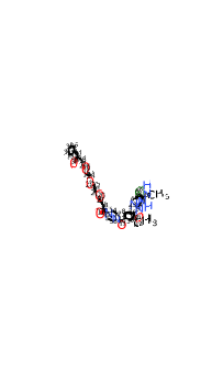 CNc1nc(Nc2ccc(C(=O)N3CCN(C(=O)CCOCCOCCOCCC(=O)CC4CCCC4)CC3)cc2OC)ncc1Cl